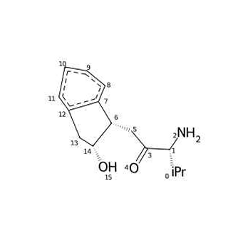 CC(C)[C@@H](N)C(=O)C[C@H]1c2ccccc2C[C@H]1O